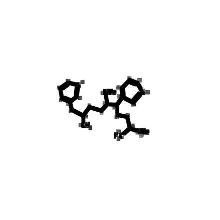 CNC(CCC(C)Cc1cccnc1)C(CCC(NC)C(F)(F)F)c1cccnc1